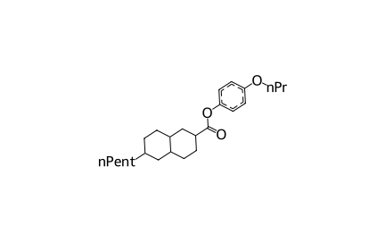 CCCCCC1CCC2CC(C(=O)Oc3ccc(OCCC)cc3)CCC2C1